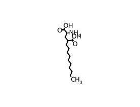 CCCCCCCCCCC(C[C@H](N)C(=O)O)C(=O)O